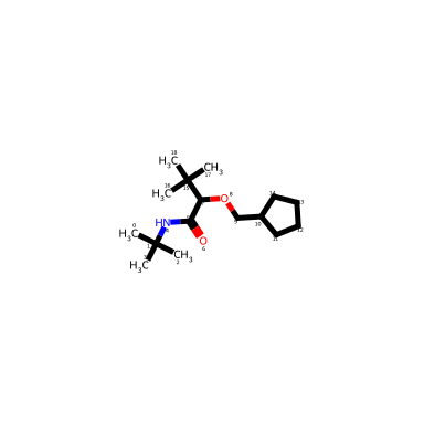 CC(C)(C)NC(=O)C(OCC1CCCC1)C(C)(C)C